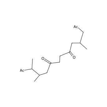 CC(=O)CC(C)CC(=O)CCC(=O)CC(C)C(C)C(C)=O